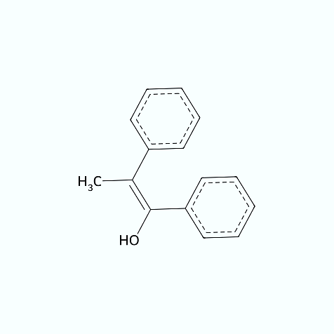 CC(=C(O)c1ccccc1)c1ccccc1